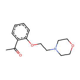 CC(=O)c1ccccc1OCCN1CCOCC1